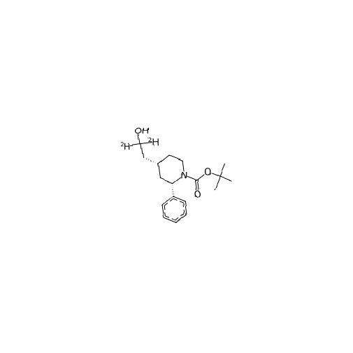 [2H]C([2H])(O)C[C@@H]1CCN(C(=O)OC(C)(C)C)[C@H](c2ccccc2)C1